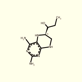 CCC(O)[C@H]1CNc2nc(N)nc(N)c2N1